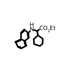 CCOC(=O)C(Nc1ccc2ccccc2c1)C1CCCCC1